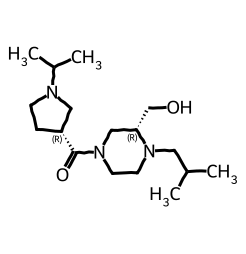 CC(C)CN1CCN(C(=O)[C@@H]2CCN(C(C)C)C2)C[C@@H]1CO